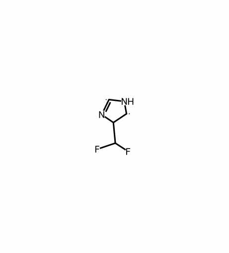 FC(F)C1[CH]N[C]=N1